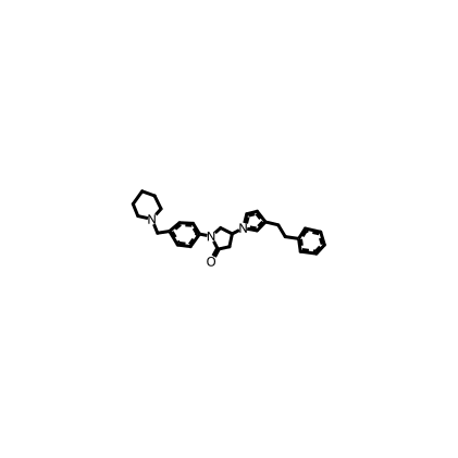 O=C1CC(n2ccc(CCc3ccccc3)c2)CN1c1ccc(CN2CCCCC2)cc1